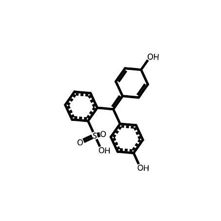 O=S(=O)(O)c1ccccc1C(=C1C=CC(O)C=C1)c1ccc(O)cc1